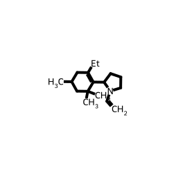 C=CN1CCCC1C1=C(CC)CC(C)CC1(C)C